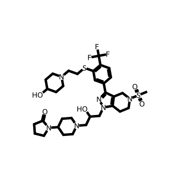 CS(=O)(=O)N1CCc2c(c(-c3ccc(C(F)(F)F)c(SCCN4CCC(O)CC4)c3)nn2CC(O)CN2CCC(N3CCCC3=O)CC2)C1